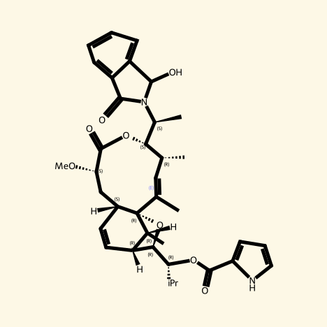 CO[C@H]1C[C@H]2C=C[C@H]3[C@H]([C@H](OC(=O)c4ccc[nH]4)C(C)C)O[C@]2(/C(C)=C/[C@@H](C)[C@@H]([C@H](C)N2C(=O)c4ccccc4C2O)OC1=O)[C@@H]3C